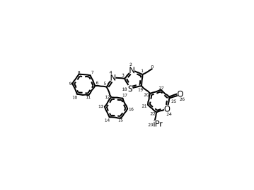 Cc1nc(N=C(c2ccccc2)c2ccccc2)sc1-c1cc(C(C)C)oc(=O)c1